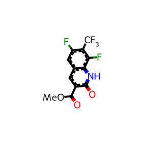 COC(=O)c1cc2cc(F)c(C(F)(F)F)c(F)c2[nH]c1=O